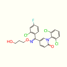 O=c1ccc(C(=NOCCCO)c2ccc(F)cc2Cl)cn1-c1c(Cl)cccc1Cl